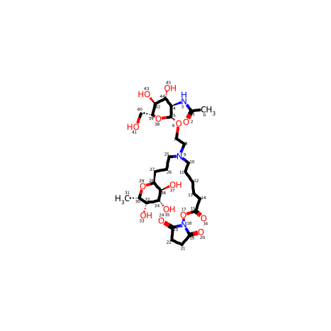 CC(=O)N[C@H]1[C@H](OCCN(CCCCCC(=O)ON2C(=O)CCC2=O)CCC[C@@H]2O[C@@H](C)[C@@H](O)[C@@H](O)[C@@H]2O)O[C@H](CO)[C@@H](O)[C@@H]1O